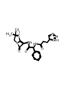 CC1(C)CN2C(=O)C(NC(=O)C(NC(=O)CCc3cnn[nH]3)c3ccccc3)C2S1